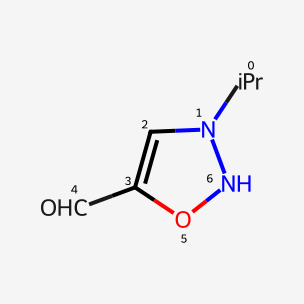 CC(C)N1C=C(C=O)ON1